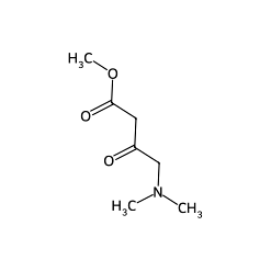 COC(=O)CC(=O)CN(C)C